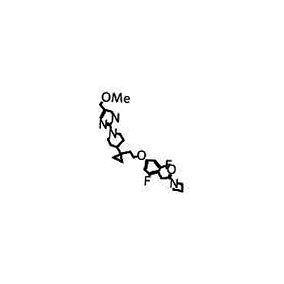 COCc1cnc(N2CCC(C3(CCOc4cc(F)c(CC(=O)N5CCC5)c(F)c4)CC3)CC2)nc1